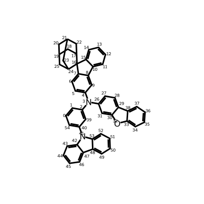 c1cc(N(c2ccc3c(c2)-c2ccccc2C32C3CC4CC(C3)CC2C4)c2ccc3c(c2)oc2ccccc23)cc(-n2c3ccccc3c3ccccc32)c1